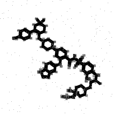 C[C@@H](CCN1CC[SH](O)(=NC(=O)O)CC1)Nc1ccc(S(=O)(=O)NC(=O)c2ccc(N3CCN(CC4=C(c5ccc(Cl)cc5)CC(C)(C)CC4)CC3)cc2Oc2cnc3[nH]ccc3c2)cc1[N+](=O)[O-]